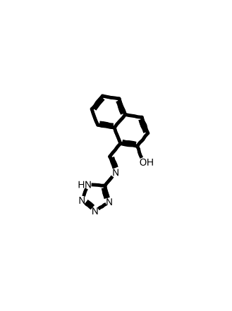 Oc1ccc2ccccc2c1/C=N/c1nnn[nH]1